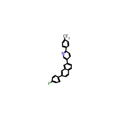 Fc1ccc(-c2ccc3ccc(-c4ccc(-c5ccc(C(F)(F)F)cc5)nc4)cc3c2)cc1